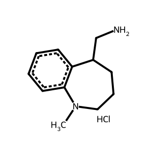 CN1CCCC(CN)c2ccccc21.Cl